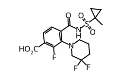 CC1(S(=O)(=O)NC(=O)c2ccc(C(=O)O)c(F)c2N2CCCC(F)(F)C2)CC1